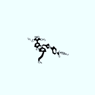 Cc1ccc(-c2c(C)noc2C)cc1N(CC1CN(C2CCN(C(=O)OC(C)(C)C)CC2)C1)c1ccc(CCC#N)cc1